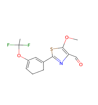 COc1sc(C2=CC(OC(C)(F)F)=CCC2)nc1C=O